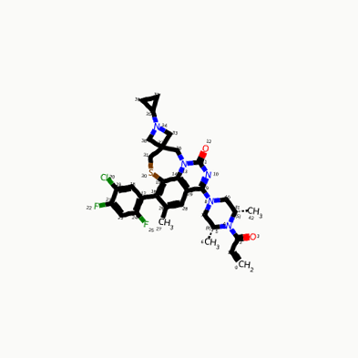 C=CC(=O)N1[C@H](C)CN(c2nc(=O)n3c4c(c(-c5cc(Cl)c(F)cc5F)c(C)cc24)SCC2(CN(C4CC4)C2)C3)C[C@@H]1C